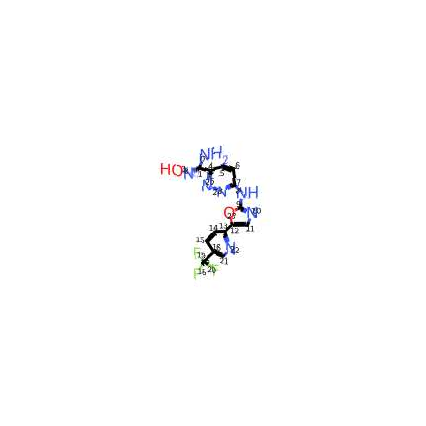 N/C(=N\O)c1ccc(Nc2ncc(-c3ccc(C(F)(F)F)cn3)o2)nn1